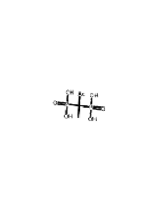 CC(=O)C(C)(P(=O)(O)O)P(=O)(O)O